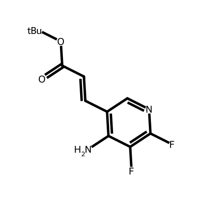 CC(C)(C)OC(=O)/C=C/c1cnc(F)c(F)c1N